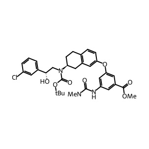 CNC(=O)Nc1cc(Oc2ccc3c(c2)C[C@@H](N(C[C@H](O)c2cccc(Cl)c2)C(=O)OC(C)(C)C)CC3)cc(C(=O)OC)c1